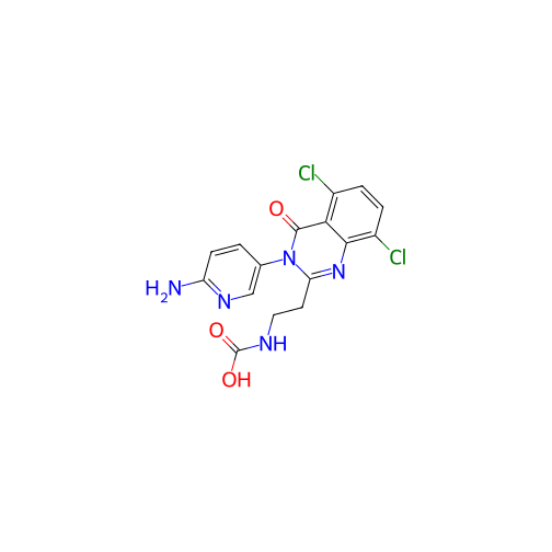 Nc1ccc(-n2c(CCNC(=O)O)nc3c(Cl)ccc(Cl)c3c2=O)cn1